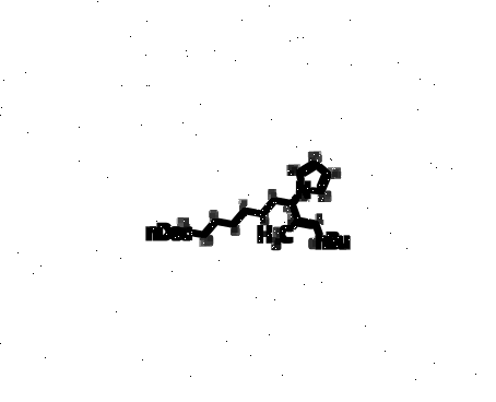 CCCCC=C(C)C(CCCCCCCCCCCCCCCC)n1cccc1